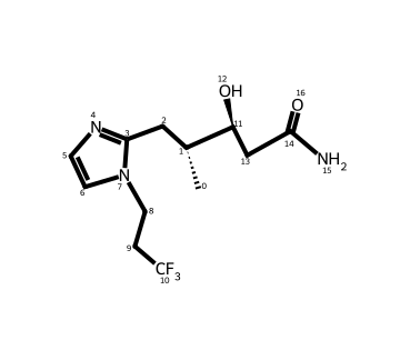 C[C@H](Cc1nccn1CCC(F)(F)F)[C@@H](O)CC(N)=O